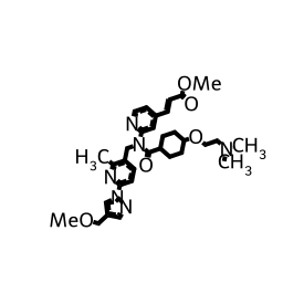 COCc1cnn(-c2ccc(CN(C(=O)C3CCC(OCCN(C)C)CC3)c3cc(/C=C/C(=O)OC)ccn3)c(C)n2)c1